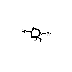 CC(C)C1CCN(C(C)C)C(F)(F)C1